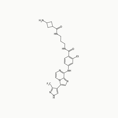 CCc1cc(Nc2nccn3c(-c4c[nH]nc4C(F)(F)F)cnc23)ccc1C(=O)NCCCNC(=O)C1CC(N)C1